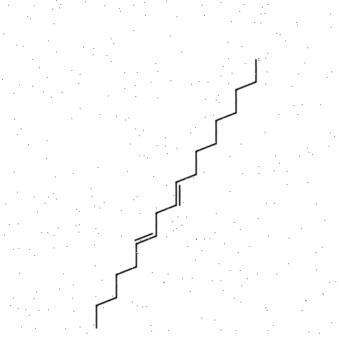 [CH]CCCCCCCC=CCC=CCCCCC